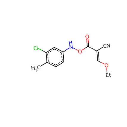 CCOC=C(C#N)C(=O)ONc1ccc(C)c(Cl)c1